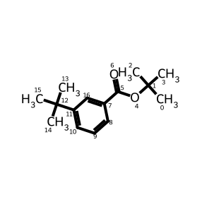 CC(C)(C)OC(=O)c1cccc(C(C)(C)C)c1